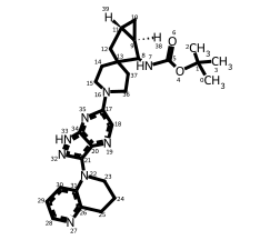 CC(C)(C)OC(=O)N[C@@H]1[C@@H]2C[C@H]2CC12CCN(c1cnc3c(N4CCCc5ncccc54)n[nH]c3n1)CC2